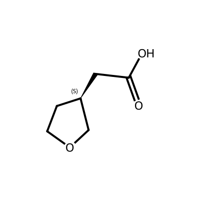 O=C(O)C[C@@H]1CCOC1